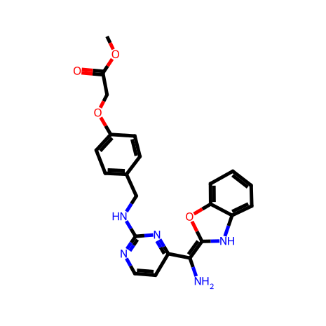 COC(=O)COc1ccc(CNc2nccc(/C(N)=C3/Nc4ccccc4O3)n2)cc1